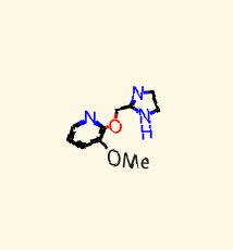 COc1cccnc1OCC1=NCCN1